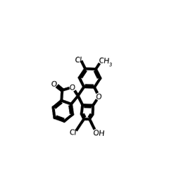 Cc1cc2c(cc1Cl)C1(OC(=O)c3ccccc31)c1cc(Cl)c(O)cc1O2